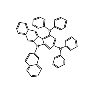 c1ccc(N(c2ccccc2)c2cc(N(c3ccccc3)c3ccccc3)c3c4cc5ccccc5cc4n(-c4ccc5ccccc5c4)c3c2)cc1